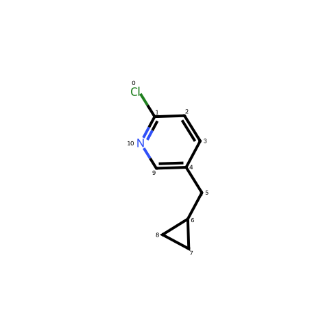 Clc1ccc([CH]C2CC2)cn1